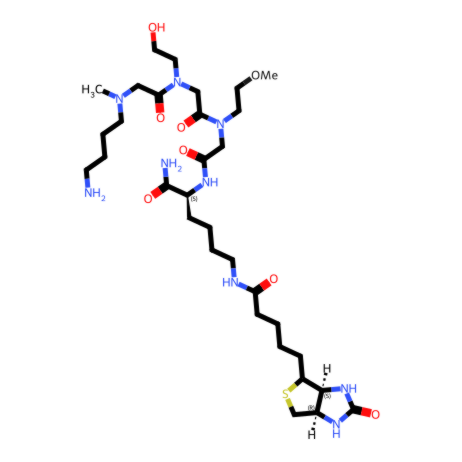 COCCN(CC(=O)N[C@@H](CCCCNC(=O)CCCCC1SC[C@@H]2NC(=O)N[C@H]12)C(N)=O)C(=O)CN(CCO)C(=O)CN(C)CCCCN